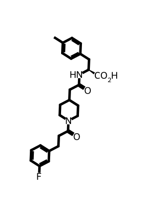 Cc1ccc(C[C@H](NC(=O)CC2CCN(C(=O)CCc3cccc(F)c3)CC2)C(=O)O)cc1